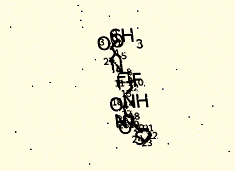 COC(=O)C1CN(CCC(F)(F)CCNC(=O)c2cc(-c3cccs3)on2)C1